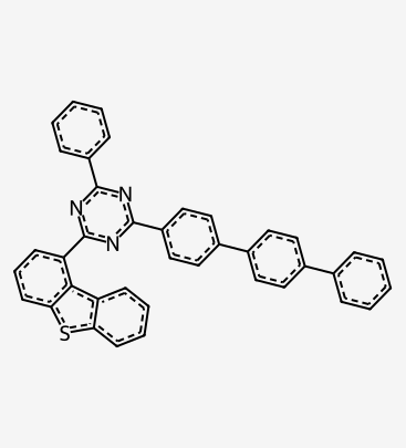 c1ccc(-c2ccc(-c3ccc(-c4nc(-c5ccccc5)nc(-c5cccc6sc7ccccc7c56)n4)cc3)cc2)cc1